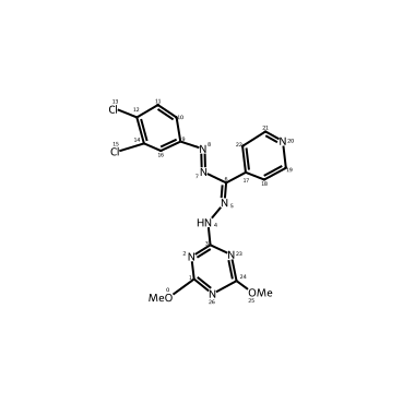 COc1nc(N/N=C(\N=N\c2ccc(Cl)c(Cl)c2)c2ccncc2)nc(OC)n1